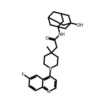 CC1(CC(=O)NC23CC4CC(CC(O)(C4)C2)C3)CCN(c2ccnc3ccc(F)cc23)CC1